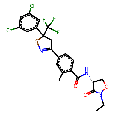 CCN1OC[C@@H](NC(=O)c2ccc(C3=NSC(c4cc(Cl)cc(Cl)c4)(C(F)(F)F)C3)cc2C)C1=O